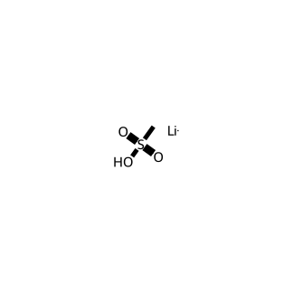 CS(=O)(=O)O.[Li]